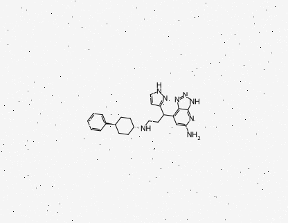 Nc1cc(C(CCN[C@H]2CC[C@H](c3ccccc3)CC2)c2cc[nH]n2)c2nn[nH]c2n1